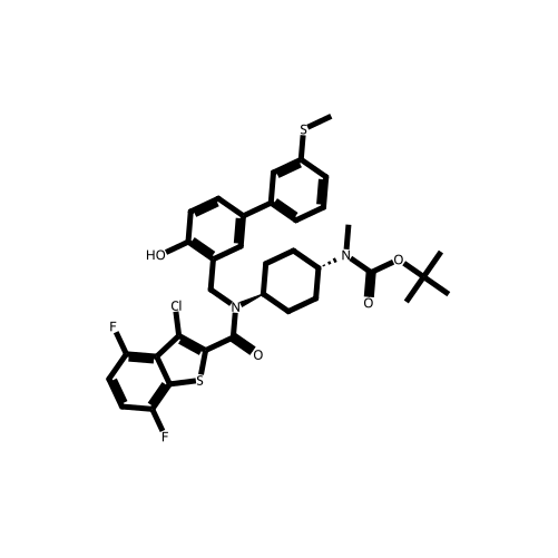 CSc1cccc(-c2ccc(O)c(CN(C(=O)c3sc4c(F)ccc(F)c4c3Cl)[C@H]3CC[C@H](N(C)C(=O)OC(C)(C)C)CC3)c2)c1